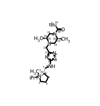 CC(C)[N+]1(C)CCC[C@H]1CNc1nc(CN2C[C@H](C)N(C(=O)C(C)(C)C)C[C@@H]2C)ns1